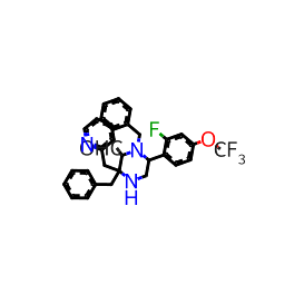 O=CC1N(Cc2ccccc2)C(c2ccc(OC(F)(F)F)cc2F)CNC1(Cc1ccccc1)Cc1ccccn1